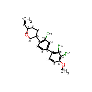 C=CC1CCC(c2ccc(-c3ccc(OC)c(F)c3F)cc2F)CO1